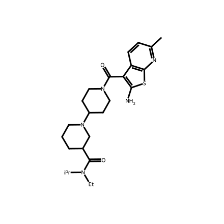 CCN(C(=O)C1CCCN(C2CCN(C(=O)c3c(N)sc4nc(C)ccc34)CC2)C1)C(C)C